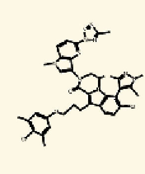 Cc1nnn(-c2ccc3c(n2)c(N2CC(C)n4c(c(CCCOc5cc(C)c(Cl)c(C)c5)c5ccc(Cl)c(-c6c(C)nn(C)c6C)c54)C2=O)cn3C)n1